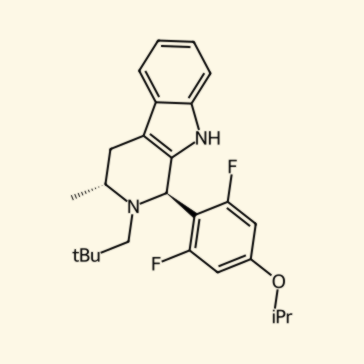 CC(C)Oc1cc(F)c([C@@H]2c3[nH]c4ccccc4c3C[C@@H](C)N2CC(C)(C)C)c(F)c1